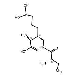 CC[C@H](N)C(=O)NC[C@H](CCCB(O)O)[C@H](N)C(=O)O